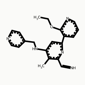 CCOc1ncccc1-c1cc(NCc2ccncc2)c(C)c(C=N)n1